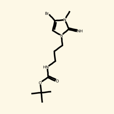 Cn1c(Br)cn(CCCNC(=O)OC(C)(C)C)c1=N